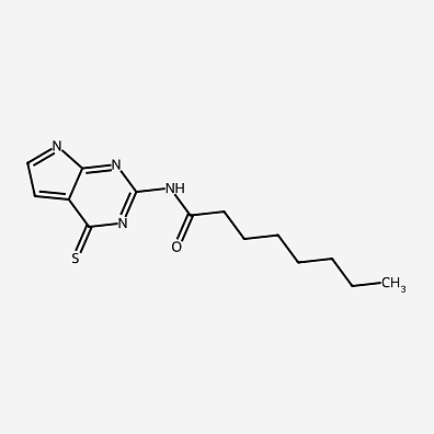 CCCCCCCC(=O)NC1=NC(=S)C2=CC=NC2=N1